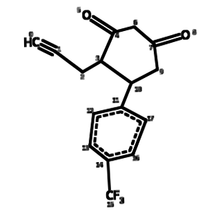 C#CCC1C(=O)CC(=O)CC1c1ccc(C(F)(F)F)cc1